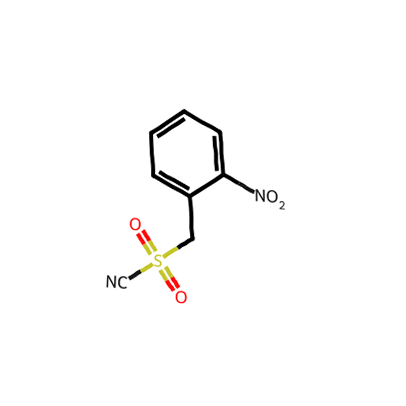 N#CS(=O)(=O)Cc1ccccc1[N+](=O)[O-]